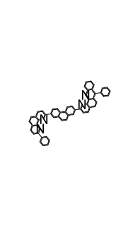 c1ccc(-c2ccc3ccc4ccc(-c5ccc6c(ccc7cc(-c8ccc9ccc%10c(-c%11ccccc%11)c%11ccccc%11nc%10c9n8)ccc76)c5)nc4c3n2)cc1